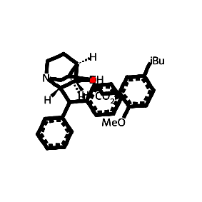 CCC(C)c1ccc(OC)c(CN[C@H]2[C@@H]3CCN(C[C@@H]3OC(=O)O)[C@H]2C(c2ccccc2)c2ccccc2)c1